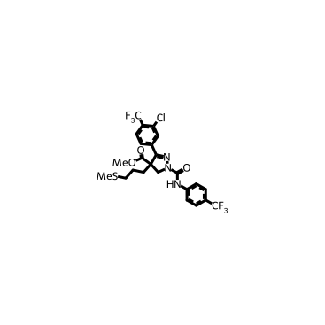 COC(=O)C1(CCCSC)CN(C(=O)Nc2ccc(C(F)(F)F)cc2)N=C1c1ccc(C(F)(F)F)c(Cl)c1